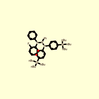 CCCC[Si](CCCC)(CCCC)c1ccc(P(c2ccc([Si](CCCC)(CCCC)CCCC)cc2)N(C(C)C)P(c2ccccc2)c2ccccc2F)cc1